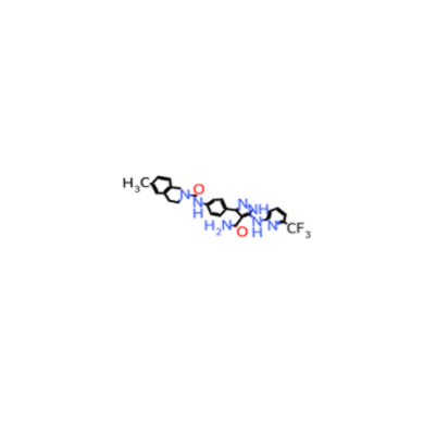 Cc1ccc2c(c1)CCN(C(=O)Nc1ccc(-c3n[nH]c(Nc4cccc(C(F)(F)F)n4)c3C(N)=O)cc1)C2